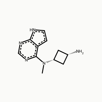 CN(c1ncnc2[nH]ccc12)[C@H]1C[C@@H](N)C1